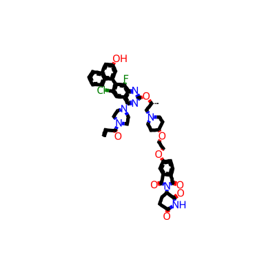 C=CC(=O)N1CCN(c2nc(O[C@H](C)CN3CCC(OCCOc4ccc5c(c4)C(=O)N(C4CCC(=O)NC4=O)C5=O)CC3)nc3c(F)c(-c4cc(O)cc5ccccc45)c(Cl)cc23)CC1